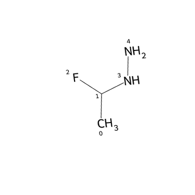 CC(F)NN